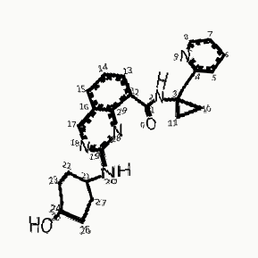 O=C(NC1(c2ccccn2)CC1)c1cccc2cnc(NC3CCC(O)CC3)nc12